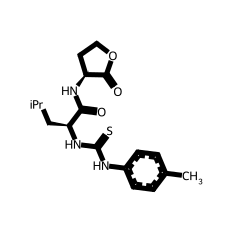 Cc1ccc(NC(=S)N[C@@H](CC(C)C)C(=O)N[C@H]2CCOC2=O)cc1